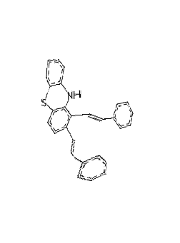 C(=Cc1ccc2c(c1C=Cc1ccccc1)Nc1ccccc1S2)c1ccccc1